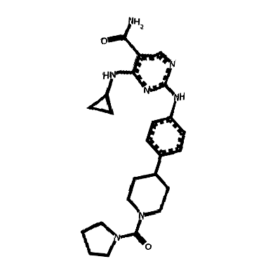 NC(=O)c1cnc(Nc2ccc(C3CCN(C(=O)N4CCCC4)CC3)cc2)nc1NC1CC1